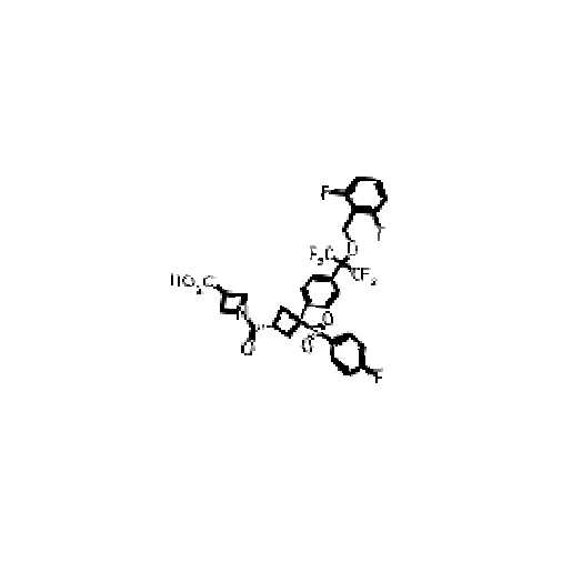 O=C(O)C1CN(C(=O)[C@H]2C[C@@](c3ccc(C(OCc4c(F)cccc4F)(C(F)(F)F)C(F)(F)F)cc3)(S(=O)(=O)c3ccc(F)cc3)C2)C1